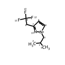 CC(C)Cn1ccc(CC(F)(F)F)n1